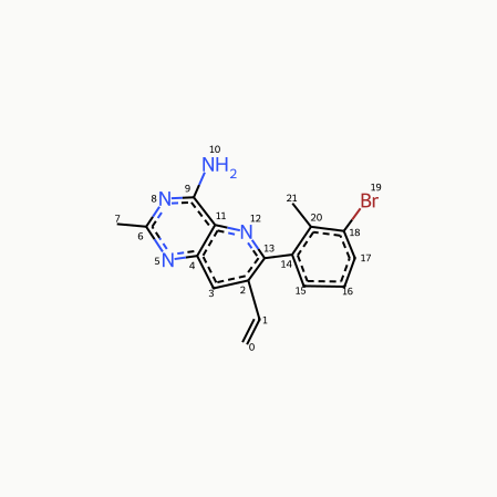 C=Cc1cc2nc(C)nc(N)c2nc1-c1cccc(Br)c1C